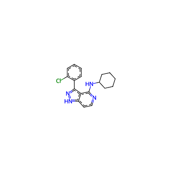 Clc1ccccc1-c1n[nH]c2ccnc(NC3CCCCC3)c12